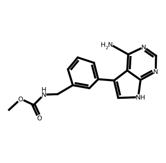 COC(=O)NCc1cccc(-c2c[nH]c3ncnc(N)c23)c1